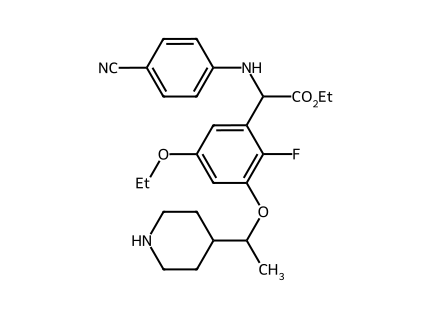 CCOC(=O)C(Nc1ccc(C#N)cc1)c1cc(OCC)cc(OC(C)C2CCNCC2)c1F